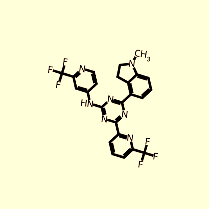 CN1CCc2c(-c3nc(Nc4ccnc(C(F)(F)F)c4)nc(-c4cccc(C(F)(F)F)n4)n3)cccc21